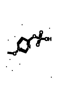 CO[n+]1ccc(OS(=O)(=O)O)nc1